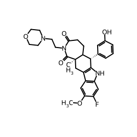 COc1cc2c3c([nH]c2cc1F)[C@@H](c1cccc(O)c1)C1CCC(=O)N(CCN2CCOCC2)C(=O)[C@]1(C)C3